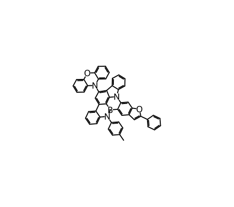 Cc1ccc(N2B3c4cc5cc(-c6ccccc6)oc5cc4-n4c5ccccc5c5c(N6c7ccccc7Oc7ccccc76)cc(c3c54)-c3ccccc32)cc1